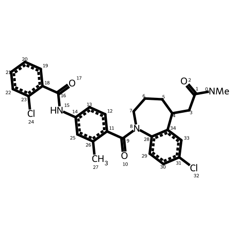 CNC(=O)CC1CCCN(C(=O)c2ccc(NC(=O)c3ccccc3Cl)cc2C)c2ccc(Cl)cc21